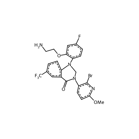 COc1ccc(N2CN(c3ccc(F)cc3OCCN)c3ccc(C(F)(F)F)cc3C2=O)c(Br)n1